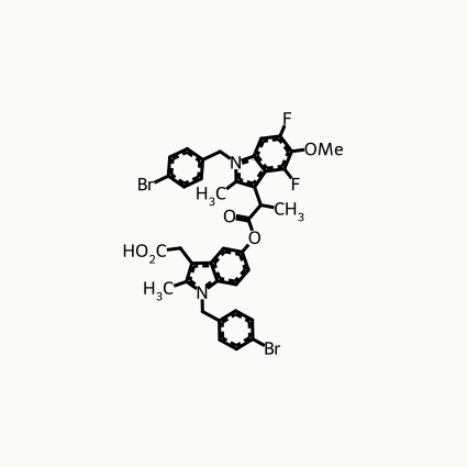 COc1c(F)cc2c(c1F)c(C(C)C(=O)Oc1ccc3c(c1)c(CC(=O)O)c(C)n3Cc1ccc(Br)cc1)c(C)n2Cc1ccc(Br)cc1